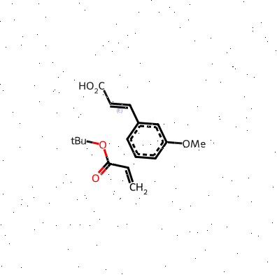 C=CC(=O)OC(C)(C)C.COc1cccc(/C=C/C(=O)O)c1